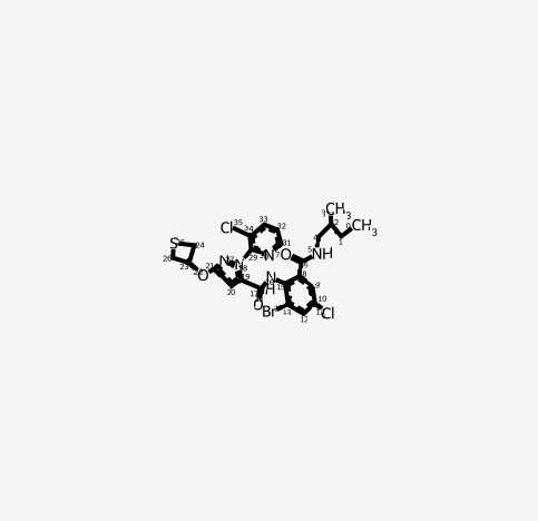 CCC(C)CNC(=O)c1cc(Cl)cc(Br)c1NC(=O)c1cc(OC2CSC2)nn1-c1ncccc1Cl